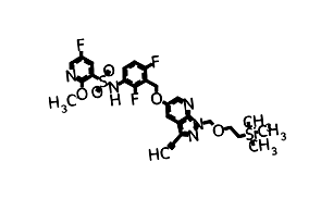 C#Cc1nn(COCC[Si](C)(C)C)c2ncc(OCc3c(F)ccc(NS(=O)(=O)c4cc(F)cnc4OC)c3F)cc12